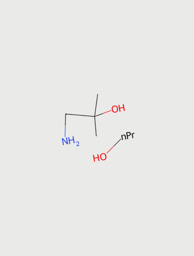 CC(C)(O)CN.CCCO